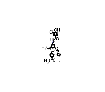 COc1cc(/C=N/NC(=O)c2ccc(O)c(Cl)c2)cc(OCCN2CCCC2)c1OCc1ccc(C(C)C)cc1